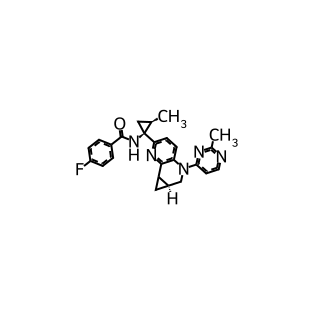 Cc1nccc(N2C[C@H]3CC3c3nc([C@]4(NC(=O)c5ccc(F)cc5)C[C@H]4C)ccc32)n1